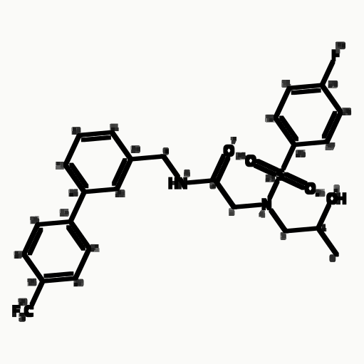 CC(O)CN(CC(=O)NCc1cccc(-c2ccc(C(F)(F)F)cc2)c1)S(=O)(=O)c1ccc(F)cc1